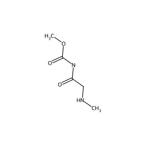 CNCC(=O)[N]C(=O)OC